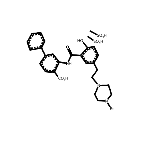 CCN1CCN(CCc2ccc(O)c(C(=O)Nc3cc(-c4ccccc4)ccc3C(=O)O)c2)CC1.CS(=O)(=O)O.CS(=O)(=O)O